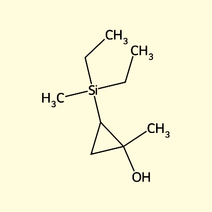 CC[Si](C)(CC)C1CC1(C)O